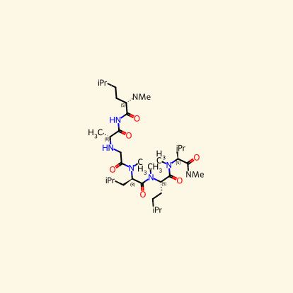 CNC(=O)[C@H](C(C)C)N(C)C(=O)[C@H](CCC(C)C)N(C)C(=O)[C@@H](CC(C)C)N(C)C(=O)CN[C@H](C)C(=O)NC(=O)[C@H](CCC(C)C)NC